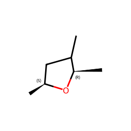 CC1C[C@H](C)O[C@@H]1C